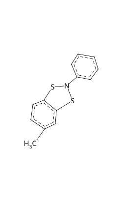 Cc1ccc2c(c1)SN(c1ccccc1)S2